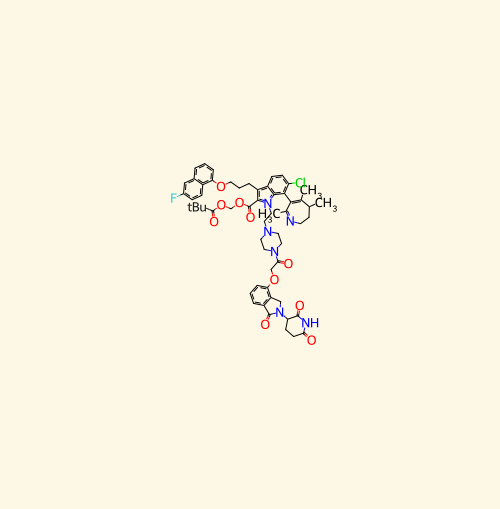 CC1=NCCC(C)C(C)=C1c1c(Cl)ccc2c(CCCOc3cccc4cc(F)ccc34)c(C(=O)OCOC(=O)C(C)(C)C)n(CCN3CCN(C(=O)COc4cccc5c4CN(C4CCC(=O)NC4=O)C5=O)CC3)c12